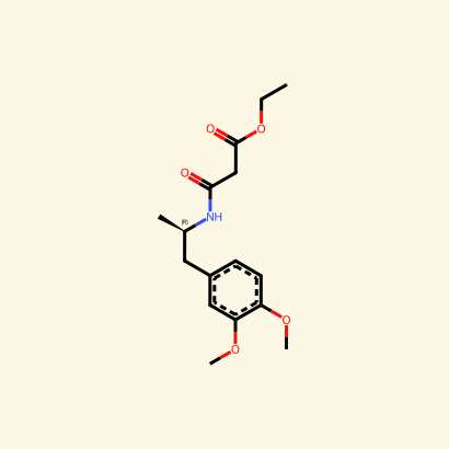 CCOC(=O)CC(=O)N[C@H](C)Cc1ccc(OC)c(OC)c1